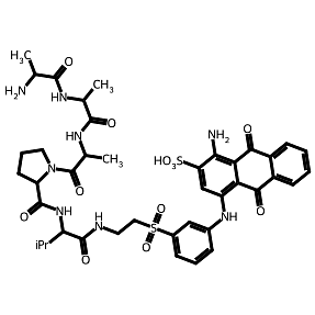 CC(N)C(=O)NC(C)C(=O)NC(C)C(=O)N1CCCC1C(=O)NC(C(=O)NCCS(=O)(=O)c1cccc(Nc2cc(S(=O)(=O)O)c(N)c3c2C(=O)c2ccccc2C3=O)c1)C(C)C